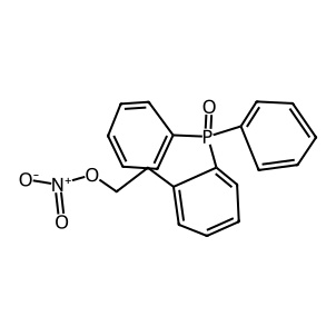 O=[N+]([O-])OCCc1ccccc1P(=O)(c1ccccc1)c1ccccc1